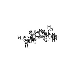 C[C@H](Cn1ncnn1)n1nnc2cc3c(=O)n(CC(C)(C)O)nnc3cc2c1=O